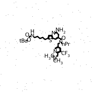 CCCN(Cc1cnc(CN(C)C)c(C(F)(F)F)c1)C(=O)C1=Cc2sc(CCCCCNC(=O)OC(C)(C)C)cc2N=C(N)C1